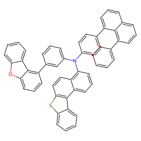 c1ccc(-c2cccc3cccc(-c4ccc(N(c5cccc(-c6cccc7oc8ccccc8c67)c5)c5cccc6c5ccc5sc7ccccc7c56)cc4)c23)cc1